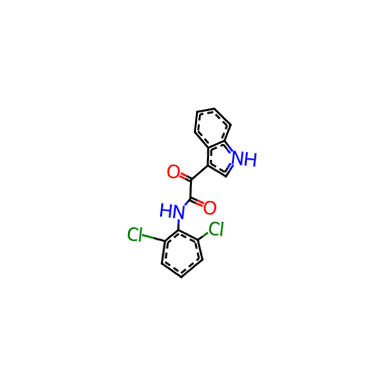 O=C(Nc1c(Cl)cccc1Cl)C(=O)c1c[nH]c2ccccc12